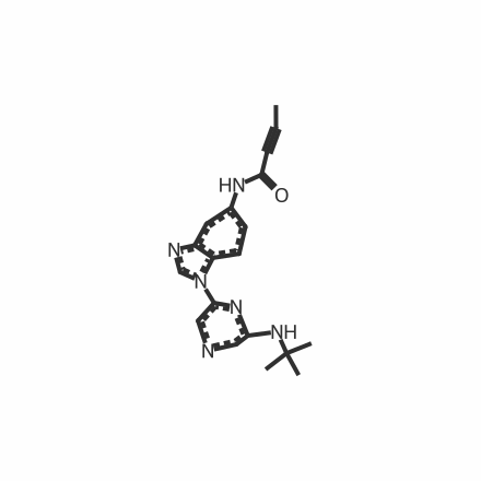 CC#CC(=O)Nc1ccc2c(c1)ncn2-c1cncc(NC(C)(C)C)n1